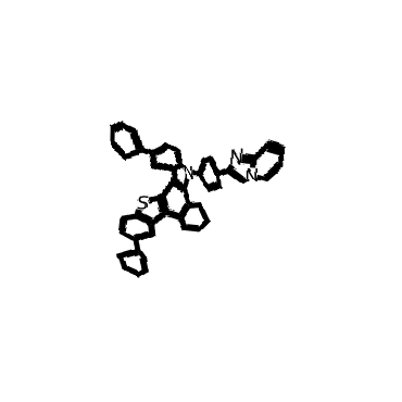 C1=Cc2c(c3c(c4cc(-c5ccccc5)ccc4n3-c3ccc(-c4cn5ccccc5n4)cc3)c3sc4ccc(-c5ccccc5)cc4c23)CC1